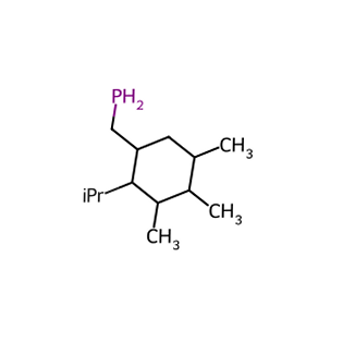 CC(C)C1C(CP)CC(C)C(C)C1C